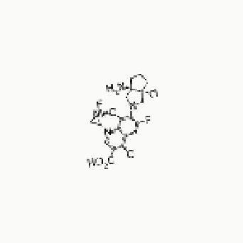 COc1c(N2C[C@]3(N)CCC[C@]3(Cl)C2)c(F)cc2c(=O)c(C(=O)O)cn([C@@H]3C[C@@H]3F)c12